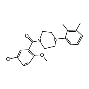 COc1ccc(Cl)cc1C(=O)N1CCN(c2cccc(C)c2C)CC1